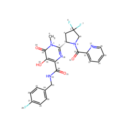 Cn1c([C@@H]2CC(F)(F)CN2C(=O)c2ccccn2)nc(C(=O)NCc2ccc(F)cc2)c(O)c1=O